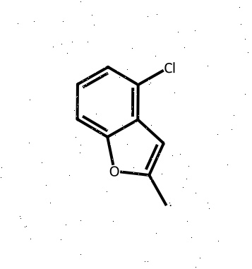 [CH2]c1cc2c(Cl)cccc2o1